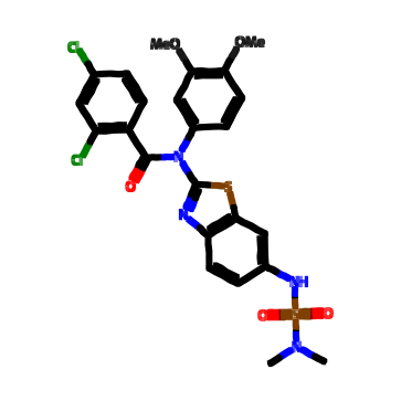 COc1ccc(N(C(=O)c2ccc(Cl)cc2Cl)c2nc3ccc(NS(=O)(=O)N(C)C)cc3s2)cc1OC